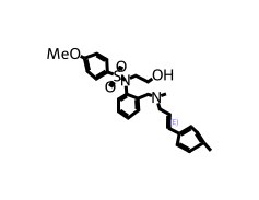 COc1ccc(S(=O)(=O)N(CCO)c2ccccc2CN(C)C/C=C/c2ccc(C)cc2)cc1